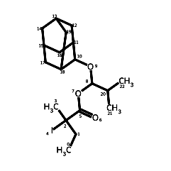 CCC(C)(I)C(=O)OC(OC1C2CC3CC(C2)CC1C3)C(C)C